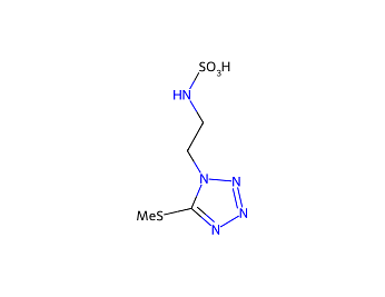 CSc1nnnn1CCNS(=O)(=O)O